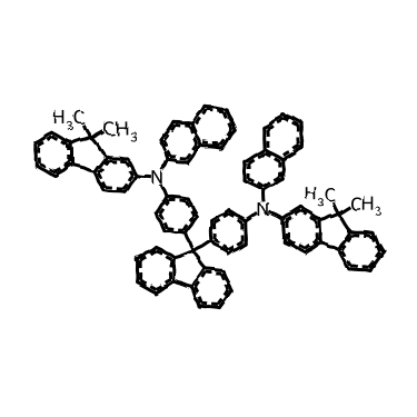 CC1(C)c2ccccc2-c2ccc(N(c3ccc(C4(c5ccc(N(c6ccc7c(c6)C(C)(C)c6ccccc6-7)c6ccc7ccccc7c6)cc5)c5ccccc5-c5ccccc54)cc3)c3ccc4ccccc4c3)cc21